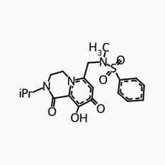 CC(C)N1CCn2c(CN(C)S(=O)(=O)c3ccccc3)cc(=O)c(O)c2C1=O